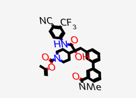 C=C(C)OC(=O)N1CCC(C(O)(Cc2cccc(-c3cccc(C(=O)NC)c3)c2)C(=O)Nc2ccc(C#N)c(C(F)(F)F)c2)CC1